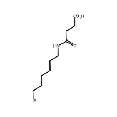 CC(C)CCCCCCNC(=O)CCC(=O)O